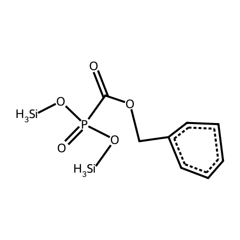 O=C(OCc1ccccc1)P(=O)(O[SiH3])O[SiH3]